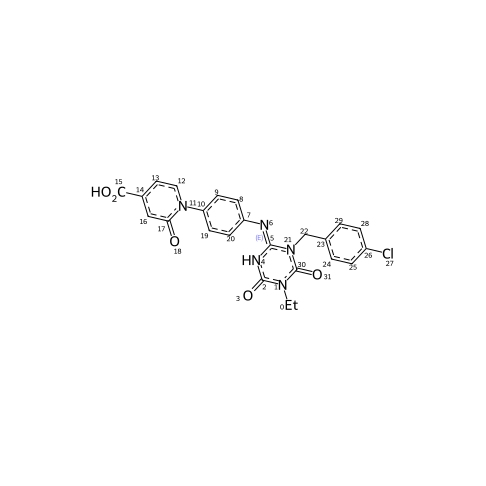 CCn1c(=O)[nH]/c(=N\c2ccc(-n3ccc(C(=O)O)cc3=O)cc2)n(Cc2ccc(Cl)cc2)c1=O